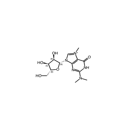 CN(C)c1nc2c(c(=O)[nH]1)[n+](C)cn2[C@@H]1O[C@H](CO)[C@@H](O)[C@H]1O